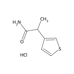 CC(C(N)=O)c1ccsc1.Cl